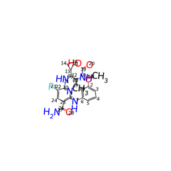 COc1cccc(Nc2nc(N[C@H](C3CC3)[C@H](C)NC(=O)O)c(F)cc2C(N)=O)c1